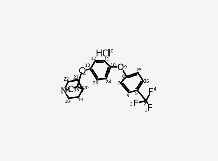 Cl.FC(F)(F)c1ccc(Oc2ccc(OC3CN4CCC3CC4)cc2)cc1